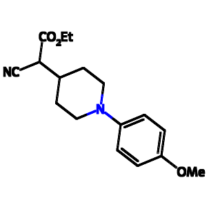 CCOC(=O)C(C#N)C1CCN(c2ccc(OC)cc2)CC1